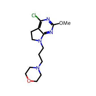 COc1nc(Cl)c2c(n1)N(CCCN1CCOCC1)CC2